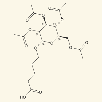 CC(=O)OC[C@H]1O[C@H](OCCCCC(=O)O)[C@H](OC(C)=O)[C@@H](OC(C)=O)[C@@H]1OC(C)=O